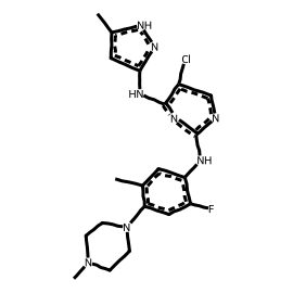 Cc1cc(Nc2nc(Nc3cc(C)c(N4CCN(C)CC4)cc3F)ncc2Cl)n[nH]1